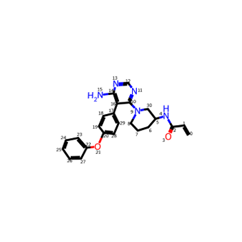 C=CC(=O)NC1CCCN(c2ncnc(N)c2-c2ccc(Oc3ccccc3)cc2)C1